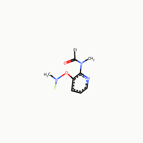 CCC(=O)N(C)c1ncccc1ON(C)F